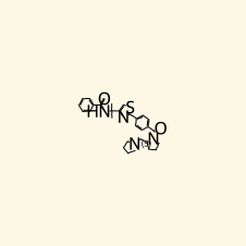 CC(C)(NC(=O)c1ccccc1)c1csc(-c2ccc(C(=O)N3CCC[C@H]3CN3CCCC3)cc2)n1